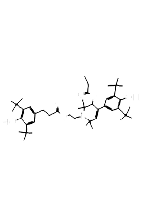 CCC(=O)OC1C(c2cc(C(C)(C)C)c(O)c(C(C)(C)C)c2)=CC(C)(C)N(CCOC(=O)CCc2cc(C(C)(C)C)c(O)c(C(C)(C)C)c2)C1(C)C